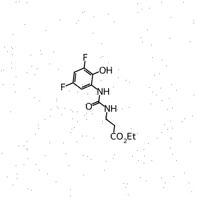 CCOC(=O)CCNC(=O)Nc1cc(F)cc(F)c1O